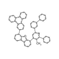 Cc1c(-c2cccc3c2oc2c(-c4ccc5c6ccccc6c6ccccc6c5c4)cccc23)cc(-c2cccc(-c3ccccc3)c2)nc1-c1ccccc1